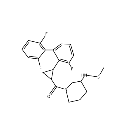 CSNC1CCCN(C(=O)C2CC2c2c(F)cccc2-c2c(F)cccc2F)C1